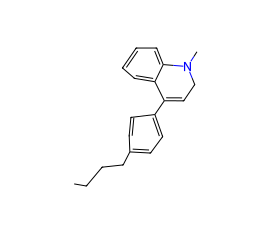 CCCCc1ccc(C2=CCN(C)c3ccccc32)cc1